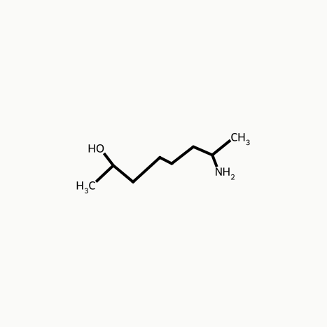 CC(N)CCCCC(C)O